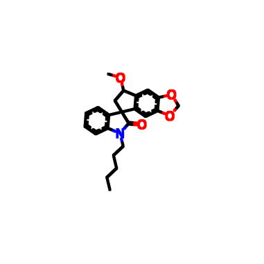 CCCCCN1C(=O)C2(CC(OC)c3cc4c(cc32)OCO4)c2ccccc21